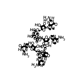 C[n+]1cn([C@@H]2O[C@H](COP(=O)(O)OP(=O)(O)OP(=O)(O)OC[C@H]3O[C@@H](n4cnc5c(N)ncnc54)[C@@H](F)C3OP(=O)(O)OC[C@]34CO[C@@H](C3OP(=O)(O)OC[C@H]3O[C@@H](n5cnc6c(=O)[nH]c(N)nc65)[C@@H](O)C3O)[C@H](n3cnc5c(N)ncnc53)O4)C(O)[C@@H]2O)c2nc(N)[nH]c(=O)c21